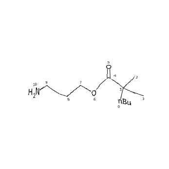 CCCCC(C)(C)C(=O)OCCCN